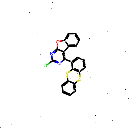 Clc1nc(-c2cccc3c2Sc2ccccc2S3)c2c(n1)oc1ccccc12